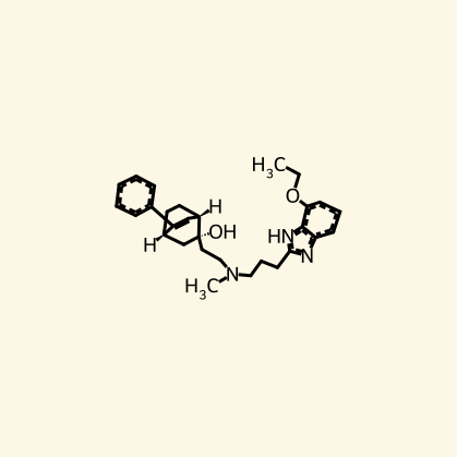 CCOc1cccc2nc(CCCN(C)CC[C@@]3(O)C[C@@H]4CC[C@H]3C=C4c3ccccc3)[nH]c12